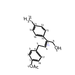 CC(=O)Oc1ccc(C/C=C(/CO)c2ccc(C)cc2)cc1